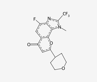 Cn1c(C(F)(F)F)nc2c(F)cc3c(=O)cc(C4CCOCC4)oc3c21